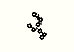 c1ccc(-c2cccc(N(c3ccc(-c4cccc5ccccc45)cc3)c3ccc4c(c3)sc3ccc5c6ccc7ccccc7c6oc5c34)c2)cc1